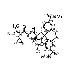 CCc1nnc(C2(C[C@@H](C)NCC(=O)N(C(C)C#N)C3CC3)c3ccc(C(=O)NC)cc3CCc3cc(C(=O)NC)ccc32)o1